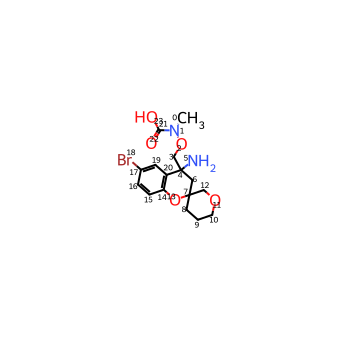 CN(OCC1(N)CC2(CCCOC2)Oc2ccc(Br)cc21)C(=O)O